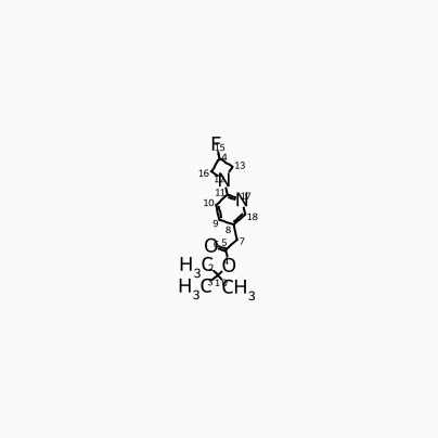 CC(C)(C)OC(=O)Cc1ccc(N2CC(F)C2)nc1